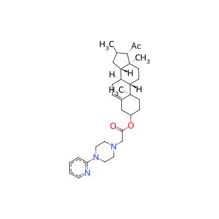 CC(=O)[C@H]1C(C)C[C@H]2[C@@H]3CC=C4CC(OC(=O)CN5CCN(c6ccccn6)CC5)CC[C@]4(C)[C@H]3CC[C@]12C